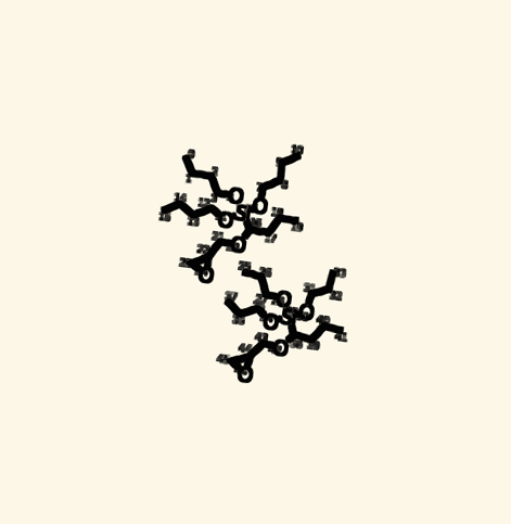 CCCCO[Si](OCCCC)(OCCCC)C(CCC)OCC1CO1.CCCO[Si](OCCC)(OCCC)C(CCC)OCC1CO1